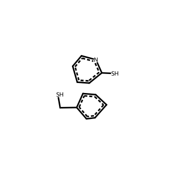 SCc1ccccc1.Sc1ccccn1